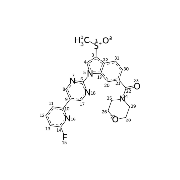 C[S+]([O-])c1cn(-c2ncc(-c3cccc(F)n3)cn2)c2cc(C(=O)N3CCOCC3)ccc12